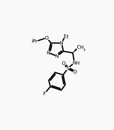 CCn1c(OC(C)C)nnc1[C@@H](C)NS(=O)(=O)c1ccc(F)cc1